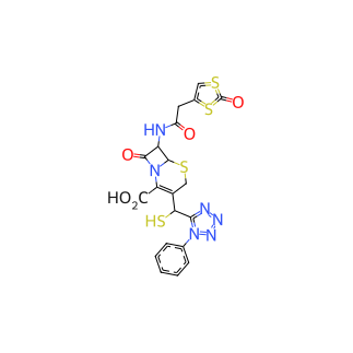 O=C(Cc1csc(=O)s1)NC1C(=O)N2C(C(=O)O)=C(C(S)c3nnnn3-c3ccccc3)CSC12